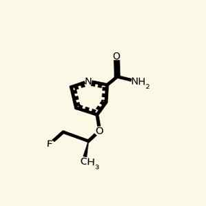 C[C@@H](CF)Oc1ccnc(C(N)=O)c1